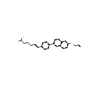 C=CCOc1ccc2cc(-c3ccc(C=CCCCC(C)O)cc3)ccc2c1